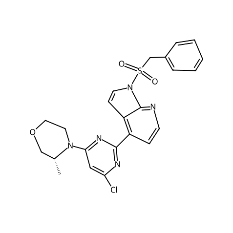 C[C@@H]1COCCN1c1cc(Cl)nc(-c2ccnc3c2ccn3S(=O)(=O)Cc2ccccc2)n1